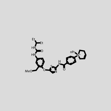 CCC[N+]1(c2ccc(C(=O)Nc3ncc(Oc4ccc(NC(=O)NC(CC)CC)cc4COC)s3)cc2)CC=CCC1